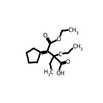 CCCC(CC)(C(=O)O)C(C(=O)OCC)=C1CCCC1